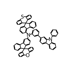 c1ccc(-n2c3ccccc3c3ccc(-c4cccc(N(c5ccc6c(c5)-c5ccccc5C65c6ccccc6Oc6ccccc65)c5cccc6c5-c5ccccc5C65c6ccccc6Sc6ccccc65)c4)cc32)cc1